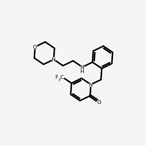 O=c1ccc(C(F)(F)F)cn1Cc1ccccc1NCCN1CCOCC1